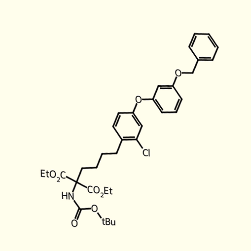 CCOC(=O)C(CCCCc1ccc(Oc2cccc(OCc3ccccc3)c2)cc1Cl)(NC(=O)OC(C)(C)C)C(=O)OCC